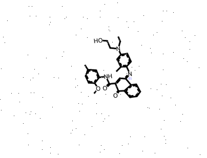 CCN(CCO)c1ccc(/N=C2\C=C(C(=O)Nc3cc(C)ccc3OC)C(=O)c3ccccc32)c(C)c1